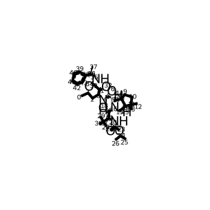 CCCC(NC(=O)[C@@H]1[C@H]2CCC(C)(C)[C@H]2CN1C(=O)[C@@H](NC(=O)OC(C)C)C(C)(C)C)C(=O)C(=O)N[C@H](C)c1ccccc1